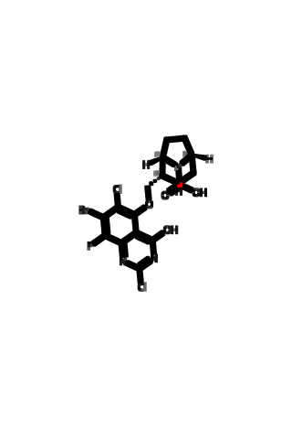 O=C(O)N1[C@@H]2CC[C@H]1[C@@H](COc1c(Cl)c(Br)c(F)c3nc(Cl)nc(O)c13)NC2